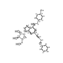 OCC1O[C@@H](n2cnc3c(NCc4ccc(F)cc4)nc(C#CCOc4ccccc4)nc32)[C@H](O)[C@@H]1O